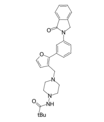 CC(C)(C)C(=O)NN1CCN(Cc2ccoc2-c2cccc(N3Cc4ccccc4C3=O)c2)CC1